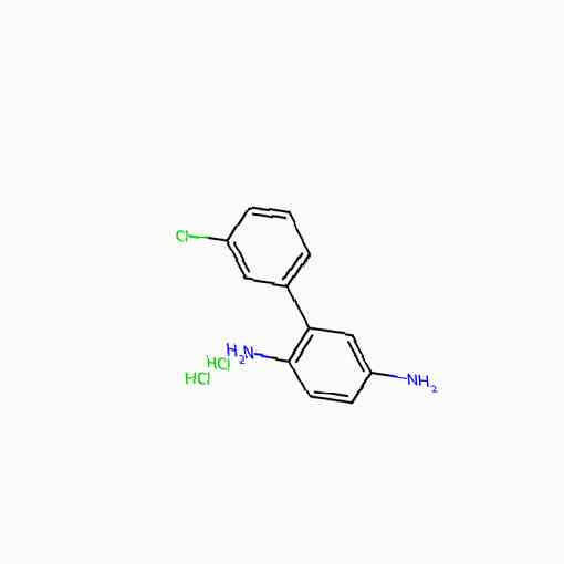 Cl.Cl.Nc1ccc(N)c(-c2cccc(Cl)c2)c1